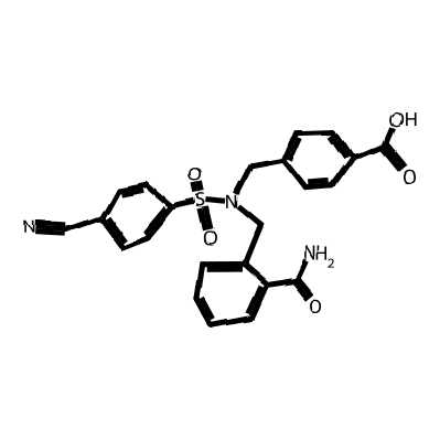 N#Cc1ccc(S(=O)(=O)N(Cc2ccc(C(=O)O)cc2)Cc2ccccc2C(N)=O)cc1